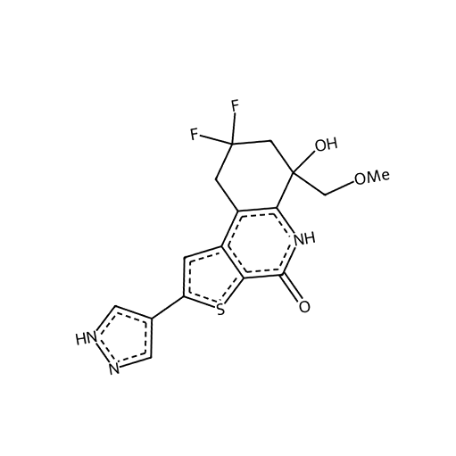 COCC1(O)CC(F)(F)Cc2c1[nH]c(=O)c1sc(-c3cn[nH]c3)cc21